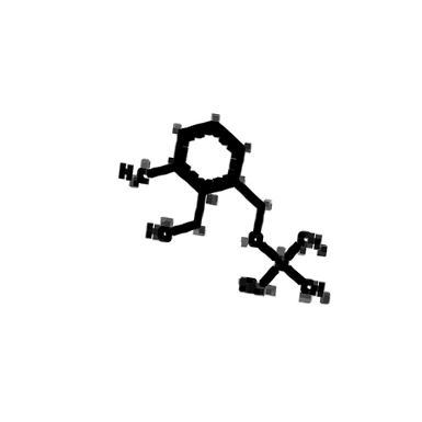 Cc1cccc(CO[Si](C)(C)C(C)(C)C)c1CO